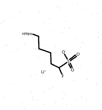 CCCCCCCCCCC(F)S(=O)(=O)[O-].[Li+]